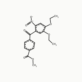 CCOc1cc(C(=O)c2ccc(C(=O)OC)cc2)c([N+](=O)[O-])cc1OCC